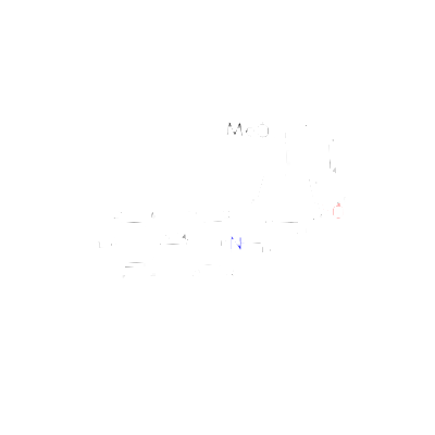 COc1cccc2c1CCC(CN1CCC(c3ccccc3)CC1)CC2=O